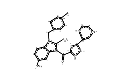 COc1ccc2c(c1)c(C(=O)c1nc(-c3cnccn3)no1)c(C)n2Cc1ccc(Cl)cc1